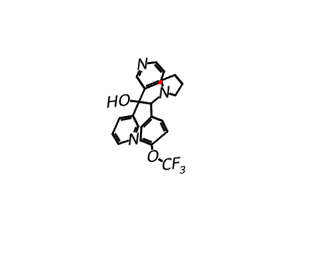 OC(c1cccnc1)(c1cccnc1)C(c1ccc(OC(F)(F)F)cc1)N1CCCC1